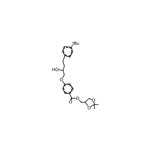 CC1(C)OCC(COC(=O)c2ccc(OCC(O)CCc3ccc(C(C)(C)C)cc3)cc2)O1